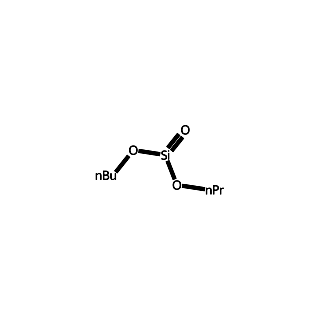 CCCCO[Si](=O)OCCC